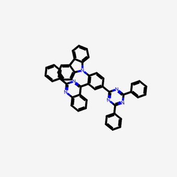 c1ccc(-c2nc(-c3ccccc3)nc(-c3ccc(-n4c5ccccc5c5ccccc54)c(-c4nc(-c5ccccc5)nc5ccccc45)c3)n2)cc1